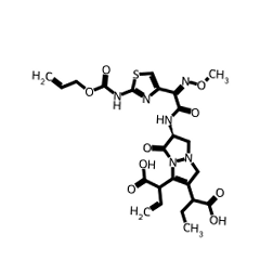 C=CCOC(=O)Nc1nc(/C(=N/OC)C(=O)N[C@H]2CN3CC(C(CC)C(=O)O)=C(C(C=C)C(=O)O)N3C2=O)cs1